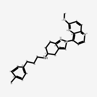 COc1ccc2nccc(-n3cc4c(n3)CCC(NCCCc3ccc(C)cc3)C4)c2n1